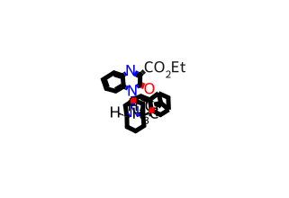 CCOC(=O)c1nc2ccccc2n(C2C[C@@H]3CCC[C@@H](C2)N3C/C=C2\CCC3CC2C3(C)C)c1=O